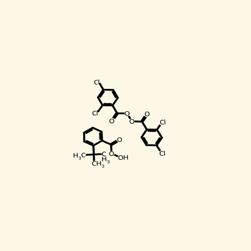 CC(C)(C)c1ccccc1C(=O)OO.O=C(OOC(=O)c1ccc(Cl)cc1Cl)c1ccc(Cl)cc1Cl